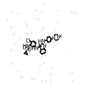 CN1CCN(c2ccc(Nc3nc(Nc4ccc(Cl)c(NS(=O)(=O)C5CC5)c4)c4ccccc4n3)cc2)CC1